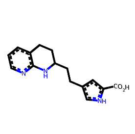 O=C(O)c1cc(CCC2CCc3cccnc3N2)c[nH]1